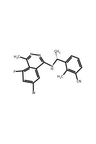 Cc1c(C#N)cccc1[C@@H](C)Nc1nnc(C)c2c(F)cc(Br)cc12